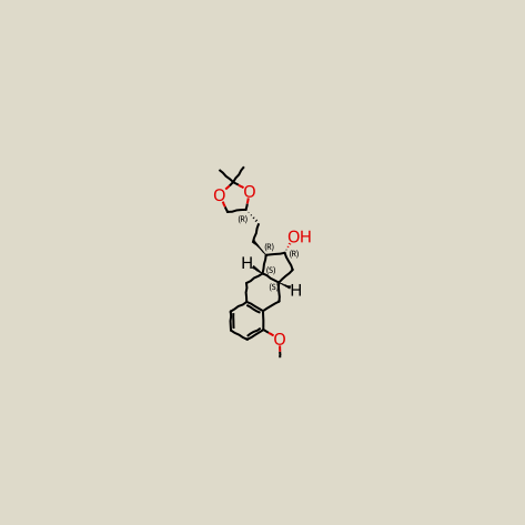 COc1cccc2c1C[C@H]1C[C@@H](O)[C@H](CC[C@@H]3COC(C)(C)O3)[C@H]1C2